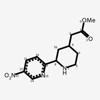 COC(=O)CC1CCNC(c2ccc([N+](=O)[O-])cn2)C1